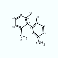 Cc1ccc(N)cc1-c1c(C)cccc1N